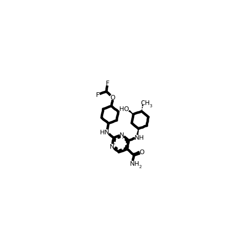 C[C@@H]1CC[C@@H](Nc2nc(NC3CCC(OC(F)F)CC3)ncc2C(N)=O)C[C@H]1O